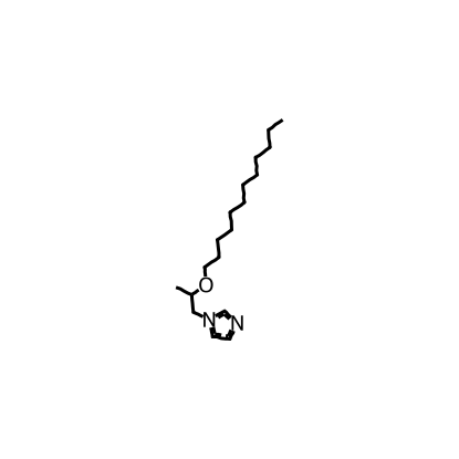 CCCCCCCCCCCCOC(C)Cn1ccnc1